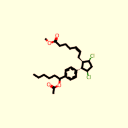 CCCCCC(OC(C)=O)c1ccc([C@@H]2[C@@H](C/C=C\CCCC(=O)OC)[C@@H](Cl)C[C@H]2Cl)cc1